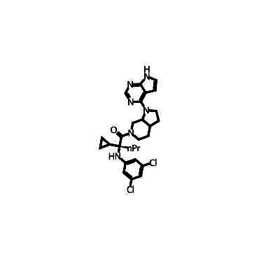 CCC[C@](Nc1cc(Cl)cc(Cl)c1)(C(=O)N1CCC2CCN(c3ncnc4[nH]ccc34)C2C1)C1CC1